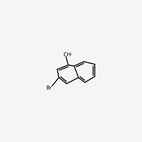 [CH]c1cc(Br)cc2ccccc12